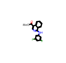 COC(=O)c1cnc(Nc2cc(F)cc(F)c2)c2ccccc12